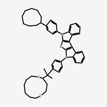 CC(C)(c1ccc(-n2c3ccccc3c3c4c5ccccc5n(-c5ccc(C6CCCCCCCC6)cc5)c4oc32)cc1)C1CCCCCCCCCC1